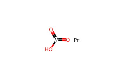 [O]=[V](=[O])[OH].[Pr]